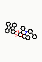 c1ccc(-c2cccc(N(c3ccccc3-c3cccc4c3Oc3c(ccc5c3-c3ccccc3C53c5ccccc5-c5ccccc53)O4)c3cccc4ccccc34)c2)cc1